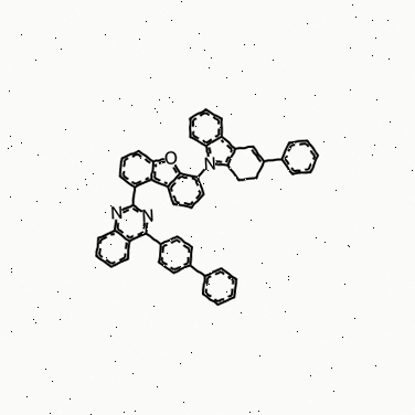 C1=C(c2ccccc2)CCc2c1c1ccccc1n2-c1cccc2c1oc1cccc(-c3nc(-c4ccc(-c5ccccc5)cc4)c4ccccc4n3)c12